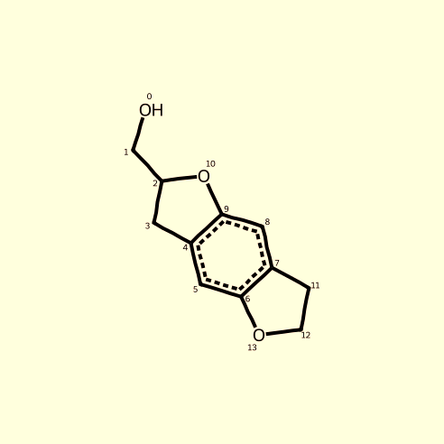 OCC1Cc2cc3c(cc2O1)CCO3